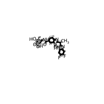 CC(c1nc2cc(F)c(F)cc2[nH]1)c1nc2ccc(C(=O)NC(CP(=O)(O)O)C(=O)O)cc2n1C